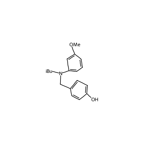 CCC(C)N(Cc1ccc(O)cc1)c1cccc(OC)c1